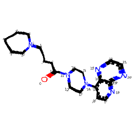 O=C(CCCN1CCCCC1)N1CCN(c2ccnc3nccnc23)CC1